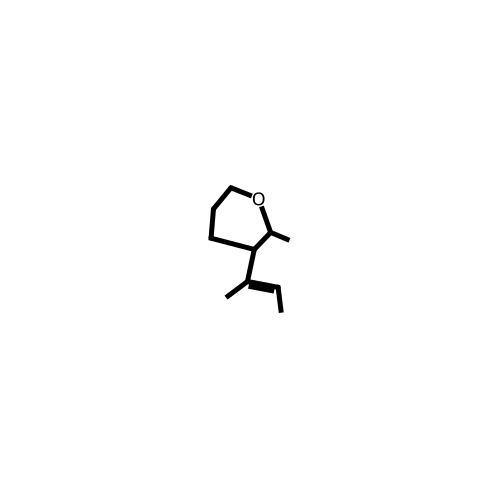 CC=C(C)C1CCCOC1C